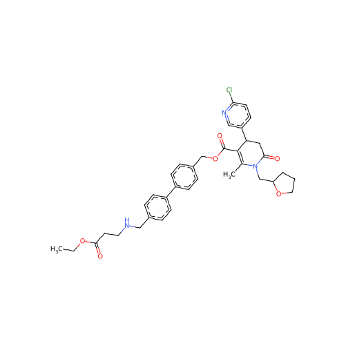 CCOC(=O)CCNCc1ccc(-c2ccc(COC(=O)C3=C(C)N(CC4CCCO4)C(=O)CC3c3ccc(Cl)nc3)cc2)cc1